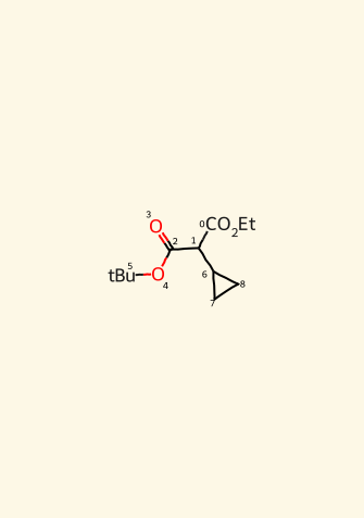 CCOC(=O)C(C(=O)OC(C)(C)C)C1CC1